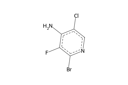 Nc1c(Cl)cnc(Br)c1F